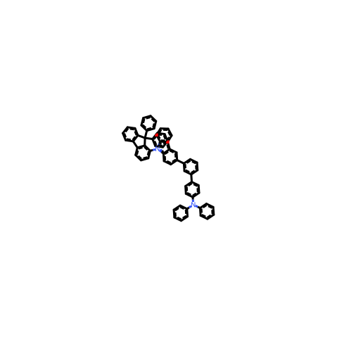 c1ccc(N(c2ccccc2)c2ccc(-c3cccc(-c4ccc5c(c4)c4ccccc4n5-c4cccc5c4C(c4ccccc4)(c4ccccc4)c4ccccc4-5)c3)cc2)cc1